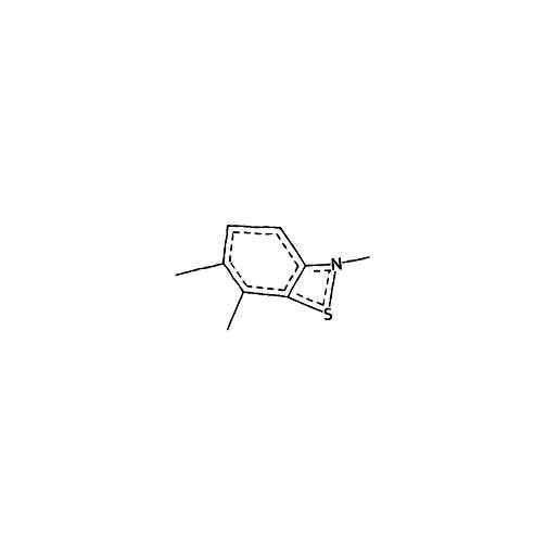 Cc1ccc2c(sn2C)c1C